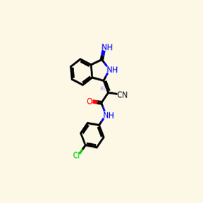 N#C/C(C(=O)Nc1ccc(Cl)cc1)=C1\NC(=N)c2ccccc21